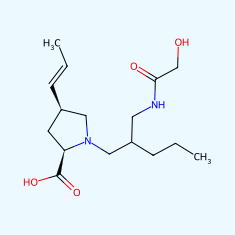 CC=C[C@@H]1C[C@H](C(=O)O)N(CC(CCC)CNC(=O)CO)C1